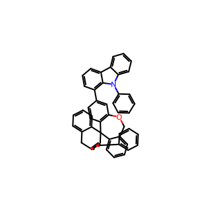 c1ccc(-c2cccc3c2C2(c4ccccc4COc4cc(-c5cccc6c7ccccc7n(-c7ccccc7)c56)ccc42)c2ccccc2C3)cc1